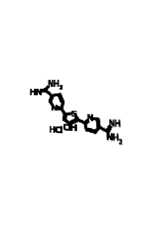 Cl.Cl.N=C(N)c1ccc(-c2ccc(-c3ccc(C(=N)N)cn3)s2)nc1